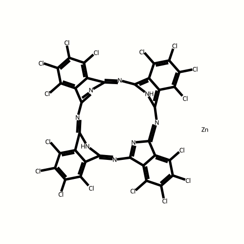 Clc1c(Cl)c(Cl)c2c(c1Cl)-c1nc-2nc2[nH]c(nc3nc(nc4[nH]c(n1)c1c(Cl)c(Cl)c(Cl)c(Cl)c41)-c1c(Cl)c(Cl)c(Cl)c(Cl)c1-3)c1c(Cl)c(Cl)c(Cl)c(Cl)c21.[Zn]